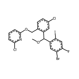 COC(c1cc(Br)c(F)cc1I)c1cc(Cl)ccc1COc1cccc(Cl)n1